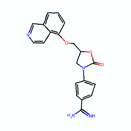 N=C(N)c1ccc(N2CC(COc3cccc4cnccc34)OC2=O)cc1